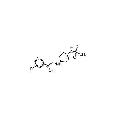 CS(=O)(=O)N[C@H]1CC[C@H](NC[C@H](O)c2cncc(F)c2)CC1